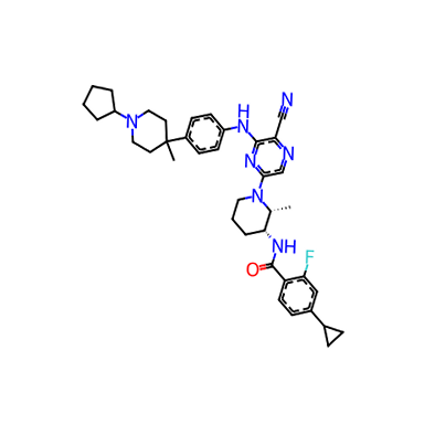 C[C@@H]1[C@H](NC(=O)c2ccc(C3CC3)cc2F)CCCN1c1cnc(C#N)c(Nc2ccc(C3(C)CCN(C4CCCC4)CC3)cc2)n1